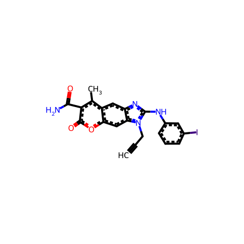 C#CCn1c(Nc2cccc(I)c2)nc2cc3c(C)c(C(N)=O)c(=O)oc3cc21